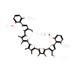 CCOC(=O)Cc1cc(-c2c(OC)cccc2OC(C)C)sc1-c1sc(-c2sc(-c3sc(-c4sc(-c5c(OC)cccc5OC(C)C)cc4CC(=O)O)c(C)c3C)c(C)c2C)c(C)c1C